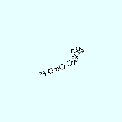 CCCc1ccc(COC2CCC(C3CCC(C(F)(F)Oc4cc(F)c(C(F)(F)F)c(F)c4)CC3)CC2)cc1